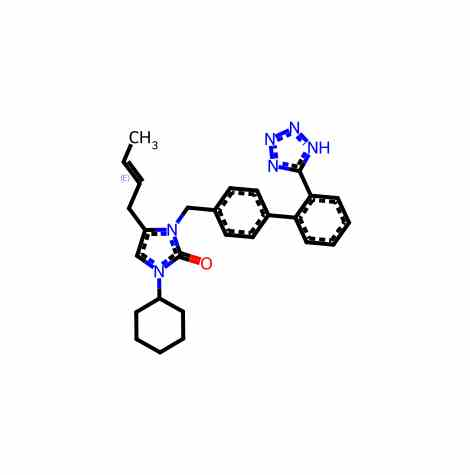 C/C=C/Cc1cn(C2CCCCC2)c(=O)n1Cc1ccc(-c2ccccc2-c2nnn[nH]2)cc1